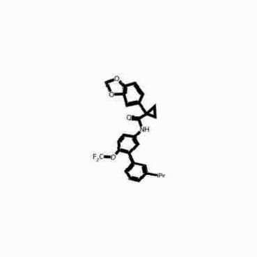 CC(C)c1cccc(-c2cc(NC(=O)C3(c4ccc5c(c4)OCO5)CC3)ccc2OC(F)(F)F)c1